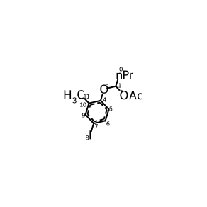 CCCC(OC(C)=O)Oc1ccc(I)cc1C